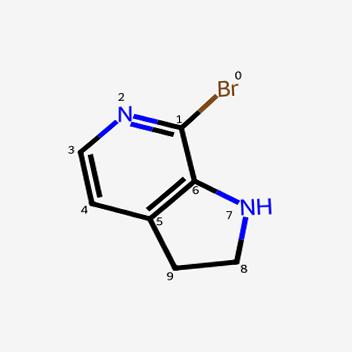 Brc1nccc2c1NCC2